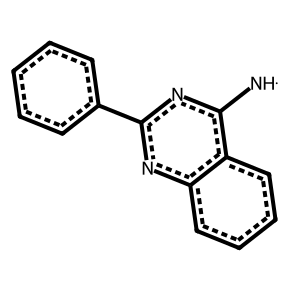 [NH]c1nc(-c2ccccc2)nc2ccccc12